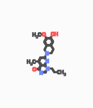 CCCn1cnc(=O)c2c(C)cc(N3CCc4cc(O)c(OC)cc4C3)nc21